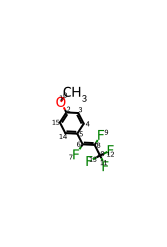 COc1ccc(/C(F)=C(\F)C(F)(F)F)cc1